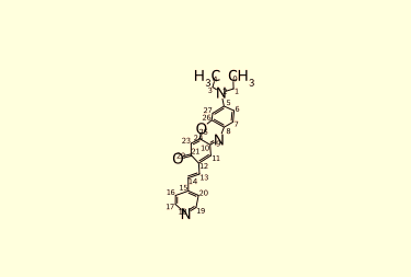 CCN(CC)c1ccc2nc3cc(C=Cc4ccncc4)c(=O)cc-3oc2c1